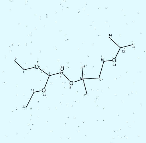 CCOC(BOC(C)(C)CCOC(C)C)OCC